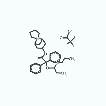 CCCSC(CC)OC(C(=O)OC1CC2CCC(C1)[N+]21CCCC1)(c1ccccc1)c1ccccc1.O=C([O-])C(F)(F)F